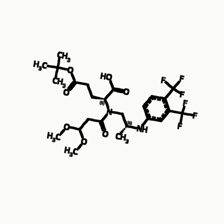 COC(CC(=O)N(C[C@@H](C)Nc1ccc(C(F)(F)F)c(C(F)(F)F)c1)[C@@H](CCC(=O)OC(C)(C)C)C(=O)O)OC